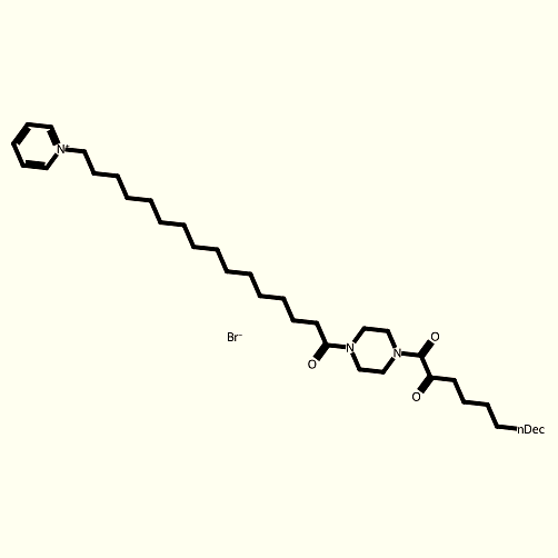 CCCCCCCCCCCCCCC(=O)C(=O)N1CCN(C(=O)CCCCCCCCCCCCCCC[n+]2ccccc2)CC1.[Br-]